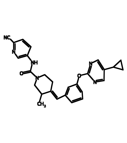 CC1CN(C(=O)Nc2ccc(C#N)nc2)CCC1=Cc1cccc(Oc2ncc(C3CC3)cn2)c1